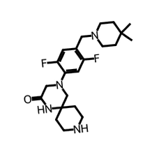 CC1(C)CCN(Cc2cc(F)c(N3CC(=O)NC4(CCNCC4)C3)cc2F)CC1